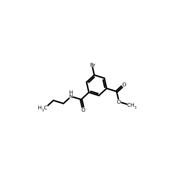 CCCNC(=O)c1cc(Br)cc(C(=O)OC)c1